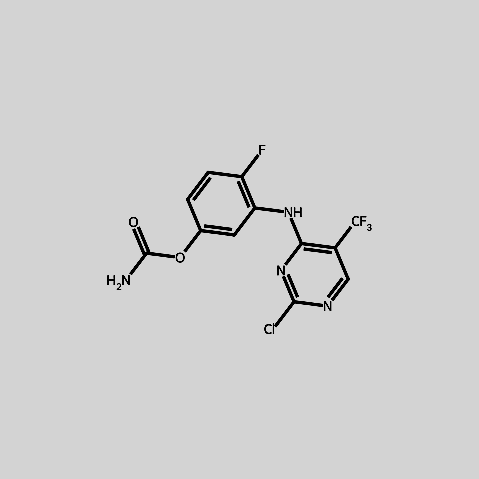 NC(=O)Oc1ccc(F)c(Nc2nc(Cl)ncc2C(F)(F)F)c1